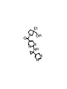 CC[C@@]1(CO)CCN(C(=O)c2cnc(NC3(c4cncnc4)CC3)nc2)C1